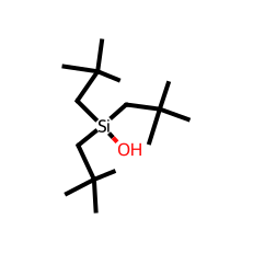 CC(C)(C)C[Si](O)(CC(C)(C)C)CC(C)(C)C